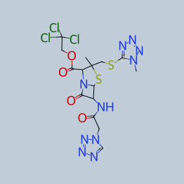 Cn1nnnc1SCC1(C)SC2C(NC(=O)Cn3cnnn3)C(=O)N2C1C(=O)OCC(Cl)(Cl)Cl